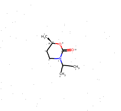 CC(C)N1CC[C@@H](C)OC1=O